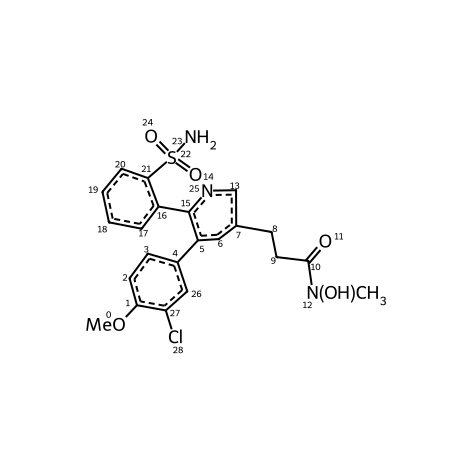 COc1ccc(-c2cc(CCC(=O)N(C)O)cnc2-c2ccccc2S(N)(=O)=O)cc1Cl